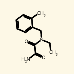 CCN(Cc1ccccc1C)C(=O)C(N)=O